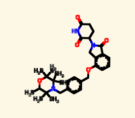 BC1OC(B)(B)C(B)(B)N(Cc2ccc(COc3cccc4c3CN(C3CCC(=O)NC3=O)C4=O)cc2)C1(B)B